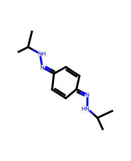 CC(C)NN=C1C=CC(=NNC(C)C)C=C1